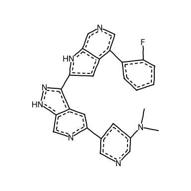 CN(C)c1cncc(-c2cc3c(-c4cc5c(-c6ccccc6F)cncc5[nH]4)n[nH]c3cn2)c1